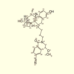 COCCN(CCCC[C@@H]1Cc2cc(O)ccc2[C@@H]2[C@@H]1[C@@H]1CC[C@H](O)[C@@]1(C)C[C@@H]2F)C(=O)c1ccc(C#N)cc1